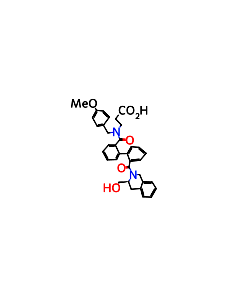 COc1ccc(CN(CCC(=O)O)C(=O)c2ccccc2-c2ccccc2C(=O)N2Cc3ccccc3C[C@H]2CO)cc1